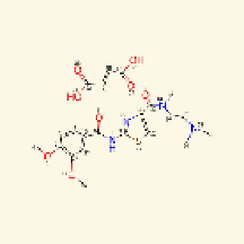 COc1ccc(C(=O)Nc2nc(C(=O)N(C)CCN(C)C)cs2)cc1OC.O=C(O)C=CC(=O)O